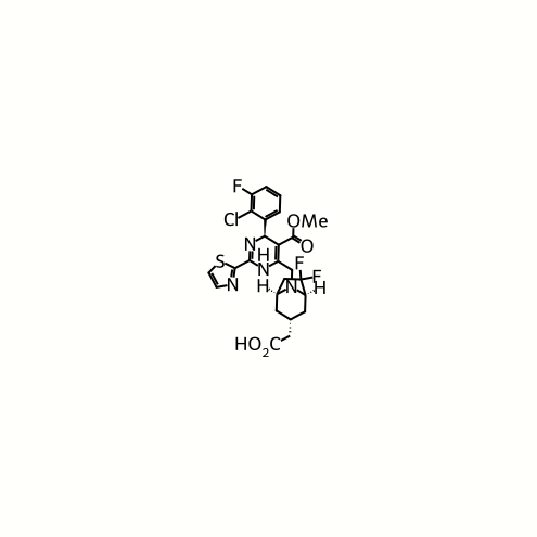 COC(=O)C1=C(CN2[C@H]3C[C@@H](CC(=O)O)C[C@@H]2C(F)(F)C3)NC(c2nccs2)=N[C@H]1c1cccc(F)c1Cl